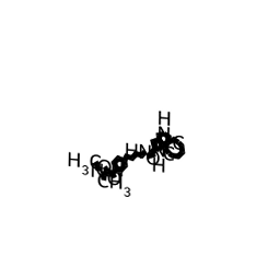 Cc1nc(C)c(C(=O)N2CCC(CCCCNC(=O)c3cc4c([nH]3)C3(CCCCCCCC3)CNC4)CC2)o1